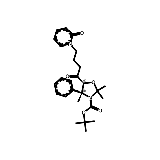 CC(C)(C)OC(=O)N1C(C)(C)O[C@H](C(=O)CCCn2ccccc2=O)[C@@]1(C)c1ccccc1